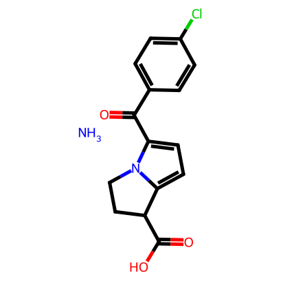 N.O=C(c1ccc(Cl)cc1)c1ccc2n1CCC2C(=O)O